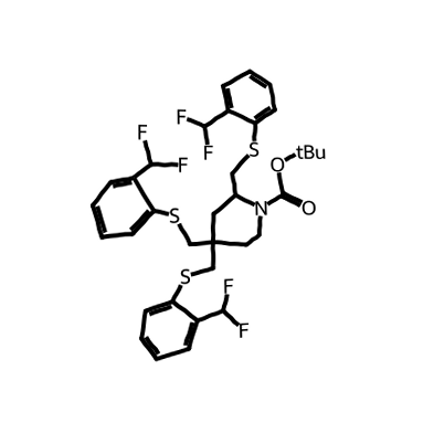 CC(C)(C)OC(=O)N1CCC(CSc2ccccc2C(F)F)(CSc2ccccc2C(F)F)CC1CSc1ccccc1C(F)F